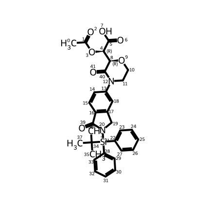 CC(=O)O[C@@H](C(=O)O)[C@H]1OCCN(c2ccc3c(c2)CN([Si](c2ccccc2)(c2ccccc2)C(C)(C)C)C3=O)C1=O